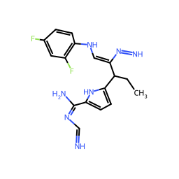 CCC(/C(=C/Nc1ccc(F)cc1F)N=N)c1ccc(/C(N)=N\C=N)[nH]1